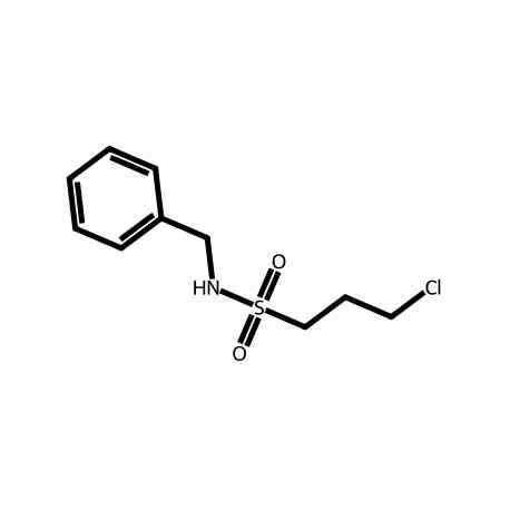 O=S(=O)(CCCCl)NCc1ccccc1